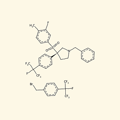 Cc1ccc(S(=O)(=O)[C@@]2(c3ccc(C(F)(C(F)(F)F)C(F)(F)F)cc3)CCN(Cc3ccccc3)C2)cc1F.FC(F)(F)C(F)(c1ccc(CBr)cc1)C(F)(F)F